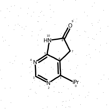 CC(C)c1ncnc2c1CC(=O)N2